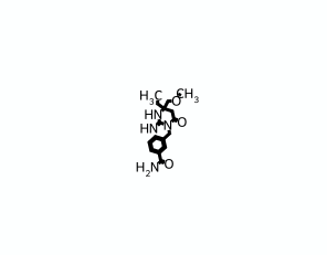 CCC1(COC)CC(=O)N(Cc2cccc(C(N)=O)c2)C(=N)N1